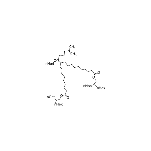 CCCCCCCCCON(CCCN(C)C)C(CCCCCCCCCC(=O)OCC(CCCCCC)CCCCCCCCC)CCCCCCCCC(=O)OCC(CCCCCC)CCCCCCCC